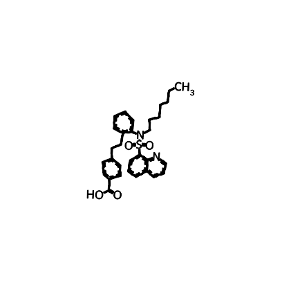 CCCCCCCN(c1ccccc1CCc1ccc(C(=O)O)cc1)S(=O)(=O)c1cccc2cccnc12